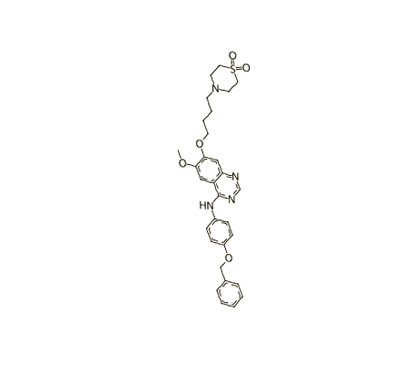 COc1cc2c(Nc3ccc(OCc4ccccc4)cc3)ncnc2cc1OCCCCN1CCS(=O)(=O)CC1